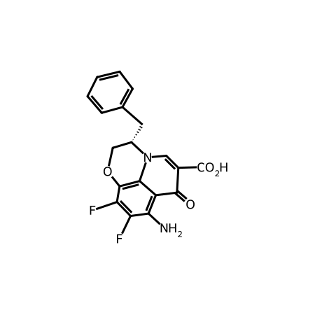 Nc1c(F)c(F)c2c3c1c(=O)c(C(=O)O)cn3[C@@H](Cc1ccccc1)CO2